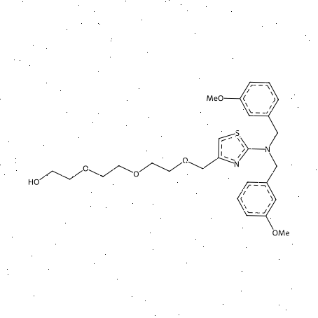 COc1cccc(CN(Cc2cccc(OC)c2)c2nc(COCCOCCOCCO)cs2)c1